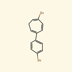 SC1=CCC=C(c2ccc(S)cc2)C=C1